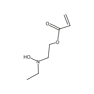 C=CC(=O)OCCN(O)CC